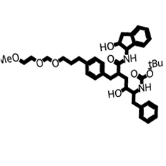 COCCOCOCCCc1ccc(CC(CC(O)C(Cc2ccccc2)NC(=O)OC(C)(C)C)C(=O)NC2c3ccccc3CC2O)cc1